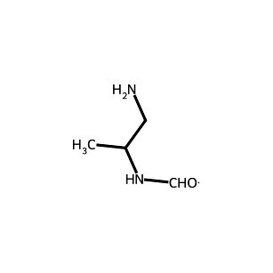 CC(CN)N[C]=O